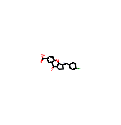 O=C(O)c1ccc2oc3c(c(=O)c2c1)CC/C3=C\c1ccc(Cl)cc1